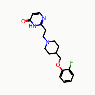 O=c1ccnc(CCN2CCC(COc3ccccc3F)CC2)[nH]1